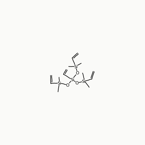 C=C[Si](C)(C)O[Si](C=C)(O[Si](C)(C)C=C)O[Si](C)(C)C=C